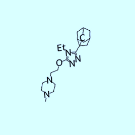 CCn1c(OCCN2CCN(C)CC2)nnc1C12CC3CC(CC1C3)C2